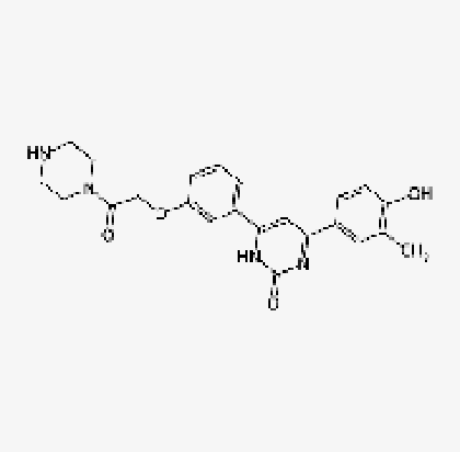 Cc1cc(-c2cc(-c3cccc(OCC(=O)N4CCNCC4)c3)[nH]c(=O)n2)ccc1O